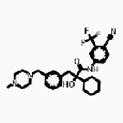 CN1CCN(Cc2cccc(CC(O)(C(=O)Nc3ccc(C#N)c(C(F)(F)F)c3)C3CCCCC3)c2)CC1